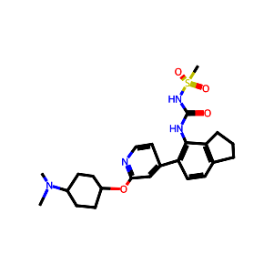 CN(C)C1CCC(Oc2cc(-c3ccc4c(c3NC(=O)NS(C)(=O)=O)CCC4)ccn2)CC1